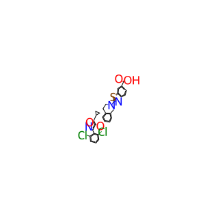 O=C(O)c1ccc2nc(N3CCc4cc(Oc5c(-c6c(Cl)cccc6Cl)noc5C5CC5)ccc4C3)sc2c1